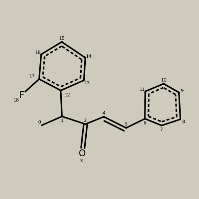 CC(C(=O)/C=C/c1ccccc1)c1ccccc1F